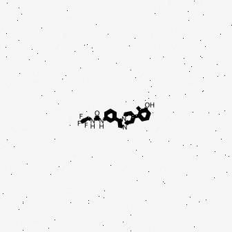 Cc1c(O)cccc1-c1ccn2c(-c3cccc(NC(=O)NCC(F)(F)F)c3)cnc2c1